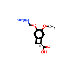 COc1cc2c(cc1OCN=[N+]=[N-])C[C@@H]2C(=O)O